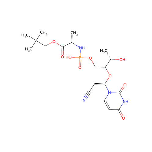 C[C@H](NP(=O)(O)OC[C@@H](O[C@H](CC#N)n1ccc(=O)[nH]c1=O)[C@H](C)O)C(=O)OCC(C)(C)C